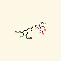 CNc1cc(C/C(C)=C/C=C/[C@@H](OC)[C@@]2(O)CCOC(=O)N2)cc(OC)c1Cl